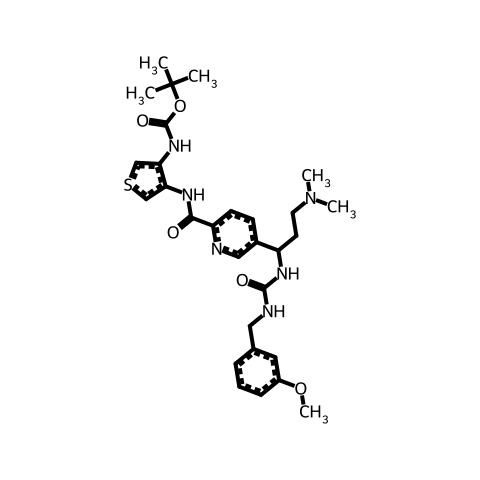 COc1cccc(CNC(=O)NC(CCN(C)C)c2ccc(C(=O)Nc3cscc3NC(=O)OC(C)(C)C)nc2)c1